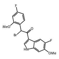 COc1cc2[nH]cc(C(=O)C(Br)c3ccc(F)cc3OC)c2cc1F